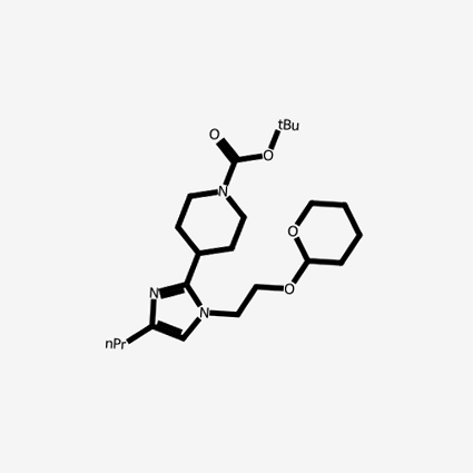 CCCc1cn(CCOC2CCCCO2)c(C2CCN(C(=O)OC(C)(C)C)CC2)n1